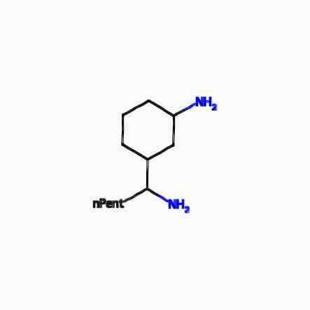 CCCCCC(N)C1CCCC(N)C1